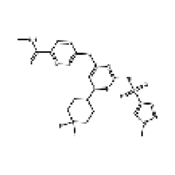 CNC(=O)c1ccc(Oc2cc(C3CCC(F)(F)CC3)nc(NS(=O)(=O)c3cnn(C)c3)n2)cn1